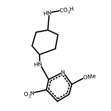 COc1ccc([N+](=O)[O-])c(NC2CCC(NC(=O)O)CC2)n1